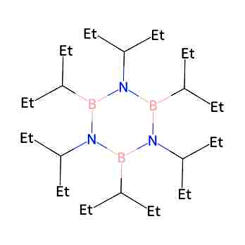 CCC(CC)B1N(C(CC)CC)B(C(CC)CC)N(C(CC)CC)B(C(CC)CC)N1C(CC)CC